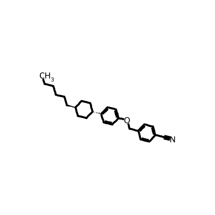 CCCCCC[C@H]1CC[C@H](c2ccc(OCc3ccc(C#N)cc3)cc2)CC1